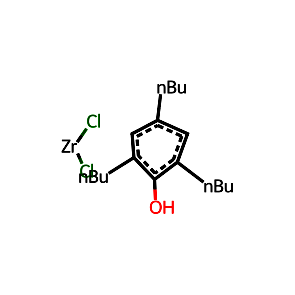 CCCCc1cc(CCCC)c(O)c(CCCC)c1.[Cl][Zr][Cl]